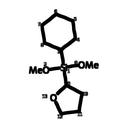 CO[Si](OC)(C1CCCCC1)C1CCCO1